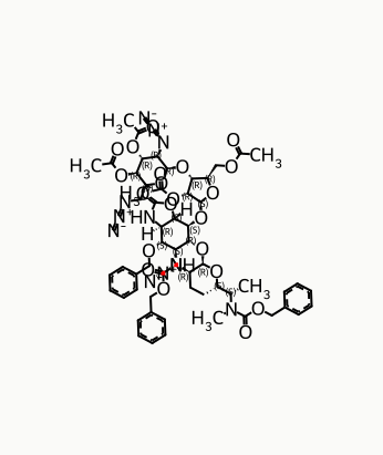 CC(=O)OC[C@H]1O[C@@H](O[C@H]2[C@H](O[C@H]3O[C@H]([C@H](C)N(C)C(=O)OCc4ccccc4)CC[C@H]3N=[N+]=[N-])[C@@H](NC(=O)OCc3ccccc3)[C@H](OCc3ccccc3)[C@H]3NC(=O)O[C@@H]32)[C@H](OC(C)=O)[C@@H]1O[C@H]1O[C@@H](CN=[N+]=[N-])[C@@H](OC(C)=O)[C@H](OC(C)=O)[C@H]1N=[N+]=[N-]